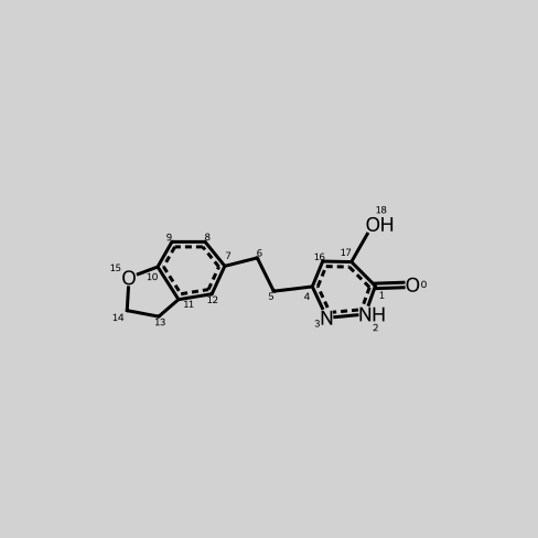 O=c1[nH]nc(CCc2ccc3c(c2)CCO3)cc1O